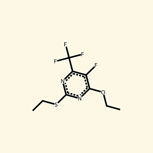 CCOc1nc(SCC)nc(C(F)(F)F)c1F